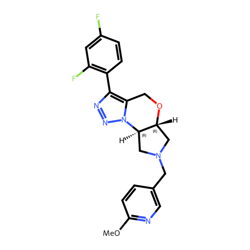 COc1ccc(CN2C[C@@H]3[C@@H](C2)OCc2c(-c4ccc(F)cc4F)nnn23)cn1